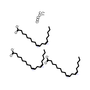 CCCCC/C=C\C/C=C\CCCCCCCC(=O)[O-].CCCCC/C=C\C/C=C\CCCCCCCC(=O)[O-].CCCCC/C=C\C/C=C\CCCCCCCC(=O)[O-].[Cl-].[Cl-].[Cl-].[Cr+3].[Cr+3]